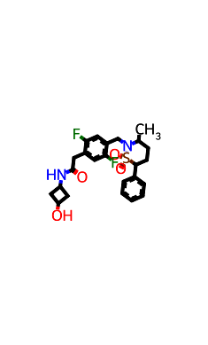 CC1CCC(c2ccccc2)S(=O)(=O)N1Cc1cc(F)c(CC(=O)NC2CC(O)C2)cc1F